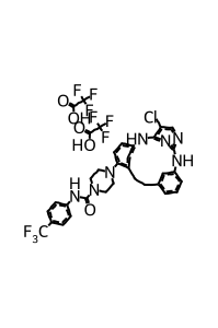 O=C(Nc1ccc(C(F)(F)F)cc1)N1CCN(c2ccc3cc2CCc2cccc(c2)Nc2ncc(Cl)c(n2)N3)CC1.O=C(O)C(F)(F)F.O=C(O)C(F)(F)F